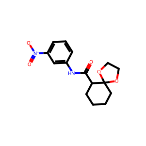 O=C(Nc1cccc([N+](=O)[O-])c1)C1CCCCC12OCCO2